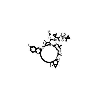 C[C@@H]1[C@@H]2CN(C(=O)[C@H](C(C)(C)C)NC(=O)O[C@@H]3C[C@@]4(C)C[C@@H]4[C@H]3CCCCCc3nc4ccc(F)cc4nc3O2)[C@@H]1C(=O)N[C@]1(C(=O)NS(=O)(=O)C2(C)CC2)C[C@H]1C(F)F